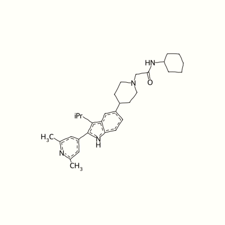 Cc1cc(-c2[nH]c3ccc(C4CCN(CC(=O)NC5CCCCC5)CC4)cc3c2C(C)C)cc(C)n1